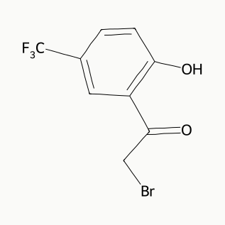 O=C(CBr)c1cc(C(F)(F)F)ccc1O